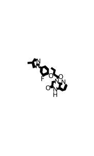 CCC(Oc1ccc(-n2cc(C)cn2)cc1F)C(=O)N1CC(=O)Nc2cccnc21